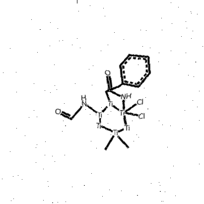 [CH3][Ti]1([CH3])[Ti][Ti]([NH]C=O)[Ti]([CH2]c2ccccc2)[Ti]([Cl])([Cl])([NH]C=O)[Ti]1